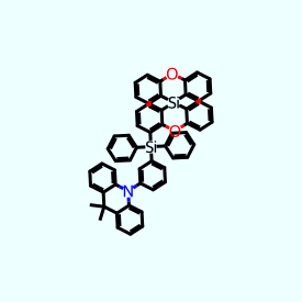 CC1(C)c2ccccc2N(c2cccc([Si](c3ccccc3)(c3ccccc3)c3cccc4c3Oc3ccccc3[Si]43c4ccccc4Oc4ccccc43)c2)c2ccccc21